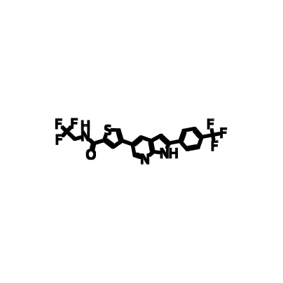 O=C(NCC(F)(F)F)c1cc(-c2cnc3[nH]c(-c4ccc(C(F)(F)F)cc4)cc3c2)cs1